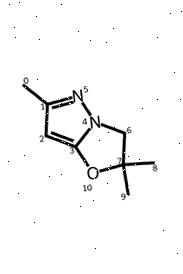 Cc1cc2n(n1)CC(C)(C)O2